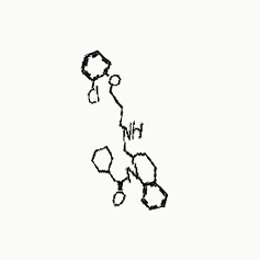 O=C(C1CCCCC1)N1c2ccccc2CCC1CNCCCOc1ccccc1Cl